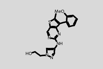 COc1ccccc1-c1c(C)sc2cnc(Nc3cnn(CCO)c3)nc12